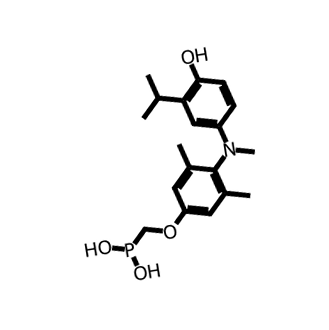 Cc1cc(OCP(O)O)cc(C)c1N(C)c1ccc(O)c(C(C)C)c1